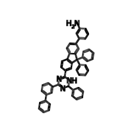 Nc1cccc(-c2ccc3c(c2)C(c2ccccc2)(c2ccccc2)c2cc(C4=NC(c5cccc(-c6ccccc6)c5)=NC(c5ccccc5)N4)ccc2-3)c1